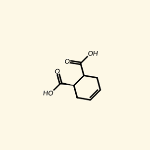 O=C(O)[C]1CC=CC[C@H]1C(=O)O